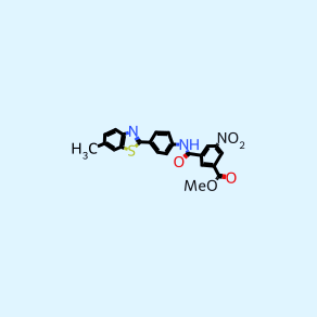 COC(=O)c1cc(C(=O)Nc2ccc(-c3nc4ccc(C)cc4s3)cc2)cc([N+](=O)[O-])c1